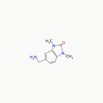 Cn1c(=O)n(C)c2cc(CN)ccc21